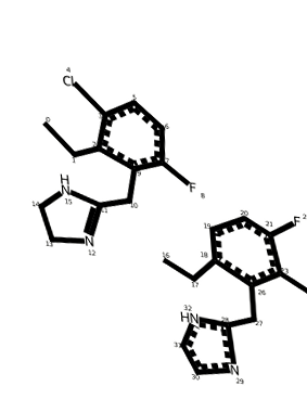 CCc1c(Cl)ccc(F)c1CC1=NCCN1.CCc1ccc(F)c(CC)c1Cc1ncc[nH]1